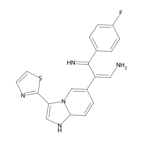 N=C(/C(=C\N)C1=CN2C(c3nccs3)=CNC2C=C1)c1ccc(F)cc1